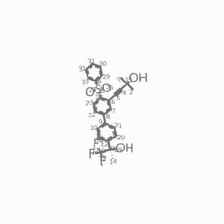 CC(C)(O)C#Cc1cc(-c2ccc([C@@](C)(O)C(F)(F)F)cc2)ccc1S(=O)(=O)c1ccccc1